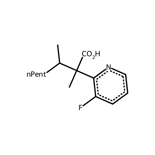 CCCCCC(C)C(C)(C(=O)O)c1ncccc1F